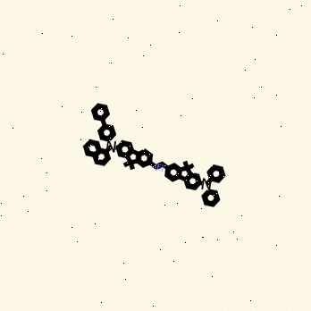 CC1(C)c2cc(/C=C/c3ccc4c(c3)C(C)(C)c3cc(N(c5ccc(-c6ccccc6)cc5)c5cccc6ccccc56)ccc3-4)ccc2-c2ccc(N(c3ccccc3)c3ccccc3)cc21